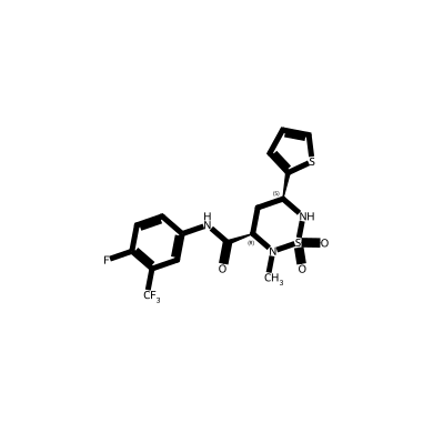 CN1[C@@H](C(=O)Nc2ccc(F)c(C(F)(F)F)c2)C[C@@H](c2cccs2)NS1(=O)=O